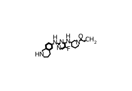 C=CC(=O)N1CCCC(Nc2nc(Nc3ccc4c(c3)CCCNC4)ncc2F)C1